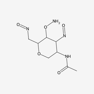 CC(=O)NC1COC(CN=O)C(ON)C1N=O